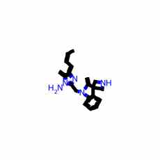 C=C1N(Cc2n/c(=C/C=C\C)c(=C)n2N)c2ccccc2C12CNC2